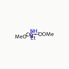 CCn1c(C#Cc2ccc(OC)cc2)c(N)c2ccc(OC)cc21